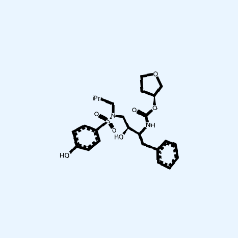 CC(C)CN(C[C@H](O)C(Cc1ccccc1)NC(=O)O[C@H]1CCOC1)S(=O)(=O)c1ccc(O)cc1